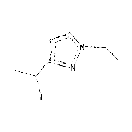 CCn1ccc(C(C)I)n1